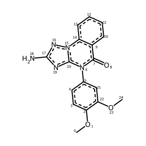 COc1ccc(-n2c(=O)c3ccccc3n3nc(N)nc23)cc1OC